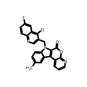 Cc1ccc2c(c1)c1c3cccnc3oc(=O)c1n2Cc1cnc2ccc(F)cc2c1Cl